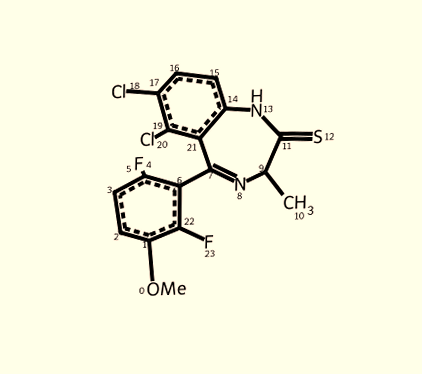 COc1ccc(F)c(C2=NC(C)C(=S)Nc3ccc(Cl)c(Cl)c32)c1F